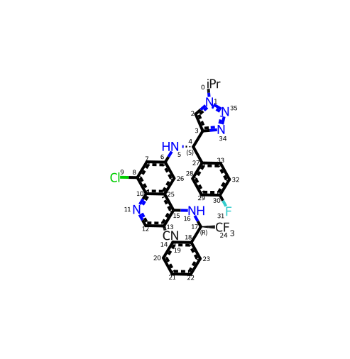 CC(C)n1cc([C@@H](Nc2cc(Cl)c3ncc(C#N)c(N[C@H](c4ccccc4)C(F)(F)F)c3c2)c2ccc(F)cc2)nn1